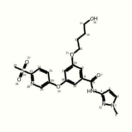 Cn1ccc(NC(=O)c2cc(OCCCCO)cc(Oc3ccc(S(C)(=O)=O)nc3)c2)n1